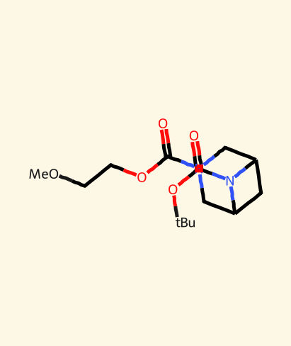 COCCOC(=O)N1CC2CC(C1)N2C(=O)OC(C)(C)C